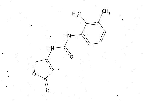 Cc1cccc(NC(=O)NC2=CC(=O)OC2)c1C